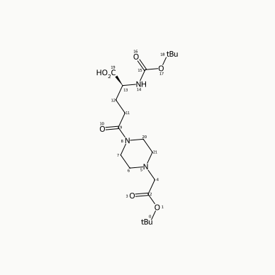 CC(C)(C)OC(=O)CN1CCN(C(=O)CC[C@H](NC(=O)OC(C)(C)C)C(=O)O)CC1